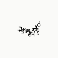 COCC(COP(O)OOC[N+](C)(C)C)OC